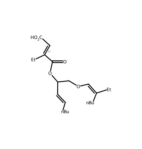 CCCCC=CC(COC=C(CC)CCCC)OC(=O)/C(=C/C(=O)O)CC